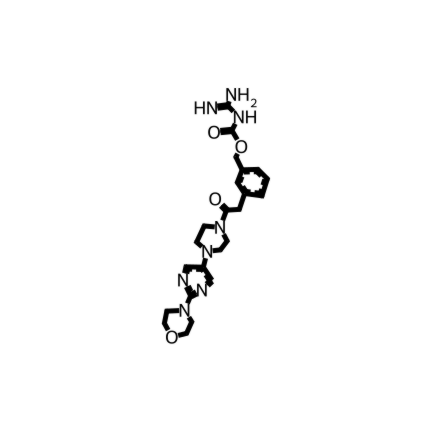 N=C(N)NC(=O)OCc1cccc(CC(=O)N2CCN(c3cnc(N4CCOCC4)nc3)CC2)c1